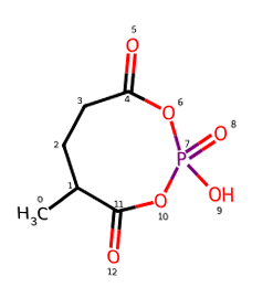 CC1CCC(=O)OP(=O)(O)OC1=O